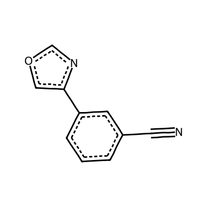 N#Cc1cccc(-c2cocn2)c1